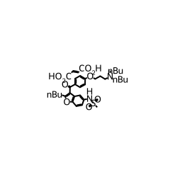 CCCCc1oc2ccc(NS(C)(=O)=O)cc2c1C(=O)c1ccc(OCCCN(CCCC)CCCC)cc1.O=C(O)C=CC(=O)O